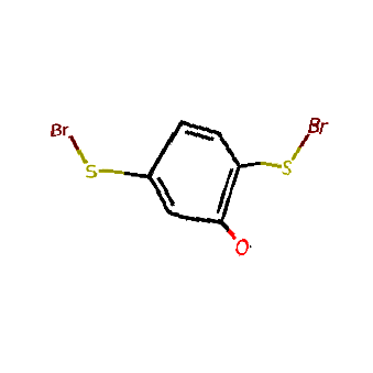 [O]c1cc(SBr)ccc1SBr